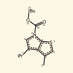 Cc1csc2c1c(C(C)C)cn2C(=O)OC(C)(C)C